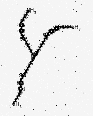 CCCCCCCCOc1ccc(-c2ccc(C=CC(=O)OCCCCCCCCCCOCC(COCCCCCCCCCCOC(=O)C=Cc3ccc(-c4ccc(OCCCCCCCC)cc4)cc3)OCCCCCCCCCCOC(=O)C=Cc3ccc(-c4ccc(OCCCCCCCC)cc4)cc3)cc2)cc1